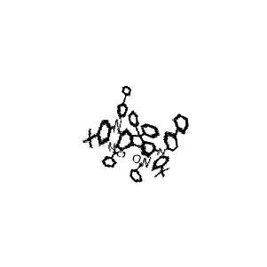 CC(C)(C)c1ccc(N(c2ccc(-c3ccccc3)cc2)c2cc3c(c4oc(-c5ccccc5)nc24)-c2c(cc(N(c4ccc(-c5ccccc5)cc4)c4ccc(C(C)(C)C)cc4)c4nc(-c5ccccc5)oc24)C3(c2ccccc2)c2ccccc2)cc1